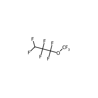 F[C](F)C(F)(F)C(F)(F)OC(F)(F)F